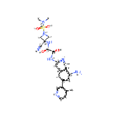 Cc1ccncc1-c1cc(N)c2cnc(NC(=O)C(=O)NC3(C#N)CN(S(=O)(=O)N(C)C)C3)cc2c1